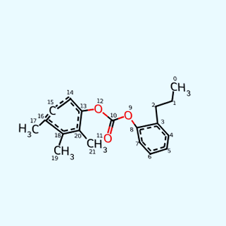 CCCc1ccccc1OC(=O)Oc1ccc(C)c(C)c1C